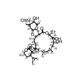 CC[C@@H]1OC(=O)[C@H](C)[C@@H](O[C@@H]2C[C@](C)(OC)[C@H](O)[C@@H](C)O2)[C@@H](C)[C@H](O[C@H]2O[C@@H](C)C[C@@H](N(C)C)[C@@H]2O)[C@@](C)(O)C[C@H](C)CN(C)[C@@H](C)[C@@H](O)[C@]1(C)O